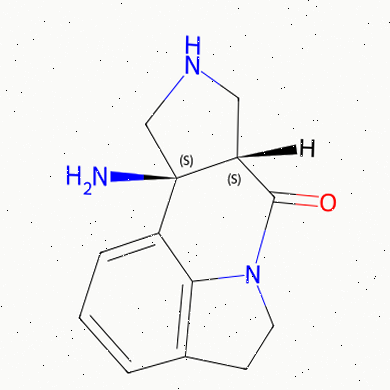 N[C@@]12CNC[C@@H]1C(=O)N1CCc3cccc2c31